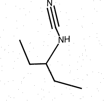 CCC(CC)NC#N